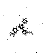 COC(=O)N1CCC(Oc2cc(-c3cncn(N)c3=O)nc(N3CCOCC3)n2)CC1